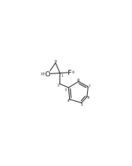 FC1(Cc2ccccc2)CO1